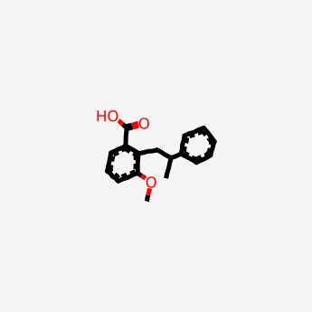 COc1cccc(C(=O)O)c1CC(C)c1ccccc1